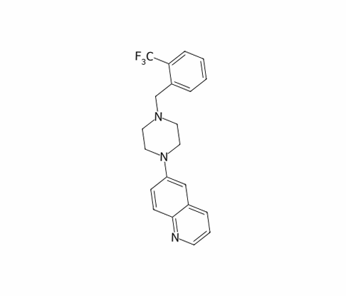 FC(F)(F)c1ccccc1CN1CCN(c2ccc3ncccc3c2)CC1